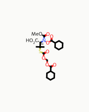 COC(=O)N(OC(=O)C1CCCCC1)[C@@H](C(=O)O)C(C)(C)SC(=O)OCOC(=O)C1CCCCC1